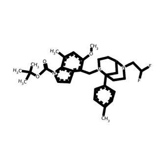 COc1cc(C)c2c(ccn2C(=O)OC(C)(C)C)c1CN1CCC2CC1(c1ccc(C)cc1)CCN2CC(F)F